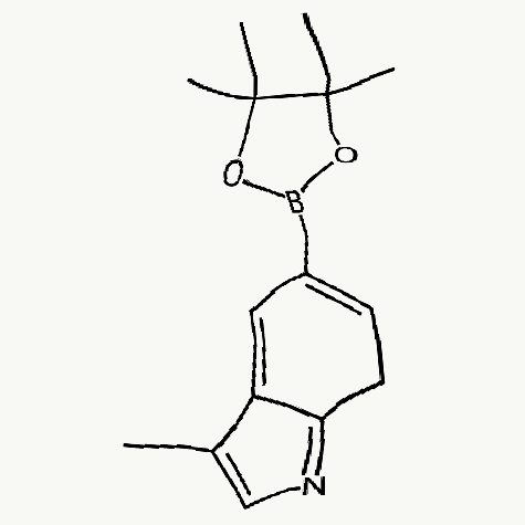 CC1=CN=C2CC=C(B3OC(C)(C)C(C)(C)O3)C=C12